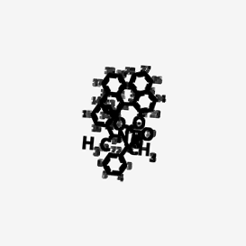 CC(c1ccccc1)N(C(C)c1ccccc1)C1(P(=O)=O)Oc2ccc3ccccc3c2-c2c(ccc3ccccc23)O1